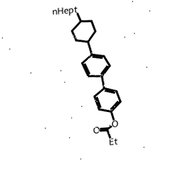 CCCCCCCC1CCC(c2ccc(-c3ccc(OC(=O)CC)cc3)cc2)CC1